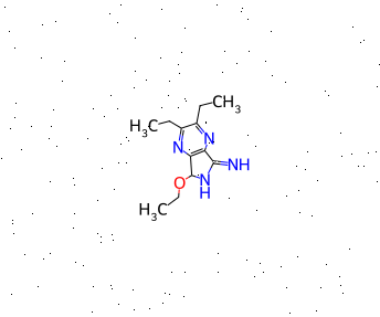 CCOC1NC(=N)c2nc(CC)c(CC)nc21